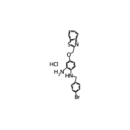 Cl.Nc1cc(OCc2nc3ccccc3s2)ccc1NCc1ccc(Br)cc1